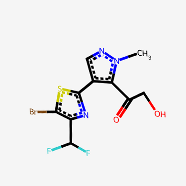 Cn1ncc(-c2nc(C(F)F)c(Br)s2)c1C(=O)CO